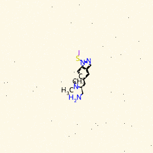 CN(C)[C@H](CN)Cc1ccc2c(cnn2SI)c1